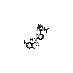 Cc1ccc(I)cc1C(=O)Nc1cccc(-c2nncn2C(C)C)n1